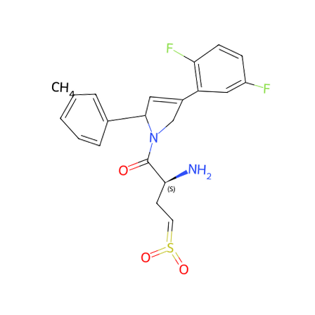 C.N[C@@H](CC=S(=O)=O)C(=O)N1CC(c2cc(F)ccc2F)=CC1c1ccccc1